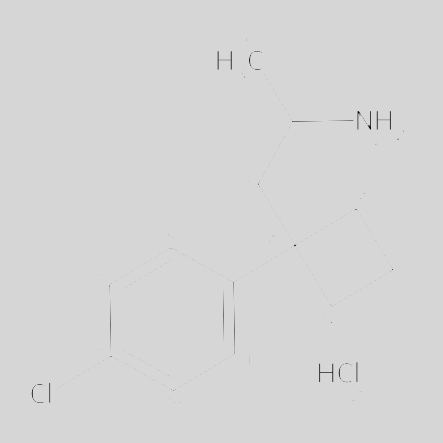 CC(N)CC1(c2ccc(Cl)cc2)CCC1.Cl